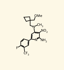 COCC1(CN(C)c2cc(-c3ccc(F)c(C(F)(F)F)c3)nc(N)c2[N+](=O)[O-])CCC1